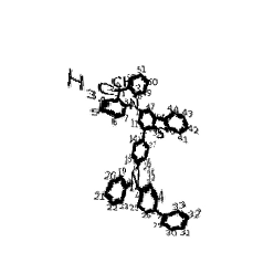 CC1(C)c2ccccc2N(c2cc(-c3ccc(N(c4ccccc4)c4ccc(-c5ccccc5)cc4)cc3)c3sc4ccccc4c3c2)c2ccccc21